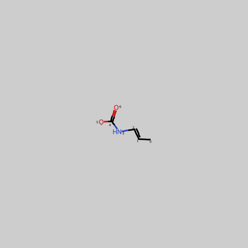 CC=CNC([O])=O